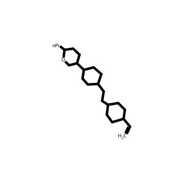 C=CC1CCC(CCC2CCC(C3CCC(CCC)OC3)CC2)CC1